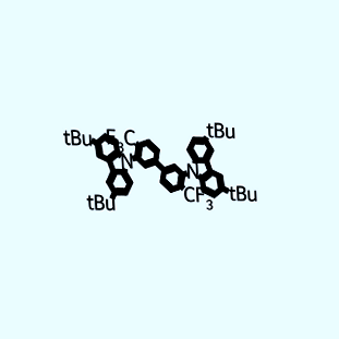 CC(C)(C)c1ccc2c(c1)c1cc(C(C)(C)C)ccc1n2-c1cc(-c2ccc(C(F)(F)F)c(-n3c4ccc(C(C)(C)C)cc4c4cc(C(C)(C)C)ccc43)c2)ccc1C(F)(F)F